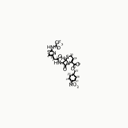 O=C(Cc1csc(NC(=O)C(F)(F)F)n1)NC1C(=O)N2C(C(=O)OCc3ccc([N+](=O)[O-])cc3)=CCS[C@H]12